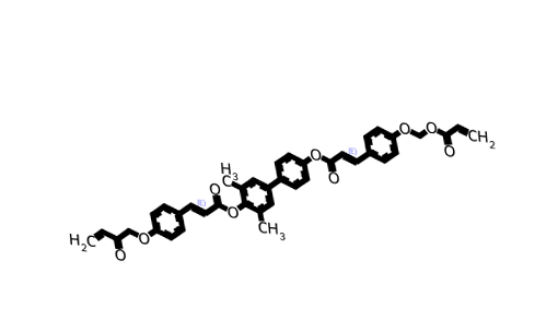 C=CC(=O)COc1ccc(/C=C/C(=O)Oc2c(C)cc(-c3ccc(OC(=O)/C=C/c4ccc(OCOC(=O)C=C)cc4)cc3)cc2C)cc1